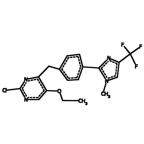 CCOc1cnc(Cl)nc1Cc1ccc(-c2nc(C(F)(F)F)cn2C)cc1